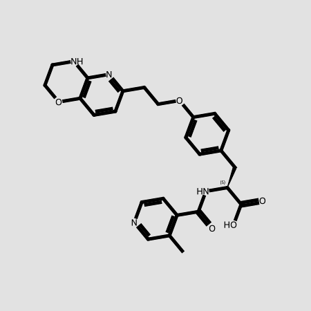 Cc1cnccc1C(=O)N[C@@H](Cc1ccc(OCCc2ccc3c(n2)NCCO3)cc1)C(=O)O